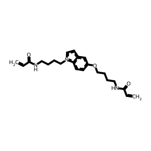 C=CC(=O)NCCCCOc1ccc2c(ccn2CCCCNC(=O)C=C)c1